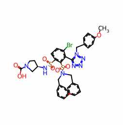 COc1ccc(Cn2nnnc2-c2c(Br)ccc(S(=O)(=O)N[C@@H]3CCN(C(=O)O)C3)c2S(=O)(=O)N(Cc2ccccc2)Cc2ccccc2)cc1